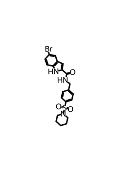 O=C(NCc1ccc(S(=O)(=O)N2CCCCC2)cc1)c1cc2cc(Br)ccc2[nH]1